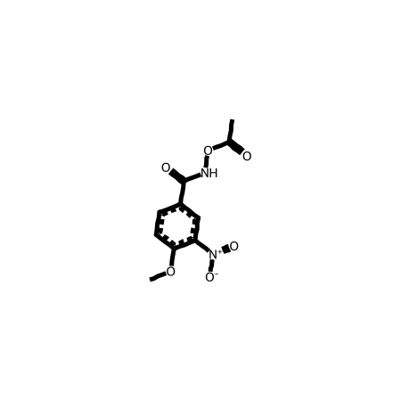 COc1ccc(C(=O)NOC(C)=O)cc1[N+](=O)[O-]